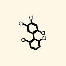 Clc1cc(Cl)c(-c2c(Cl)cccc2Cl)cc1Cl